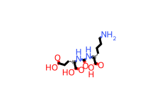 NCCCC[C@@H](NC(=O)N[C@@H](CCC(=O)O)C(=O)O)C(=O)O